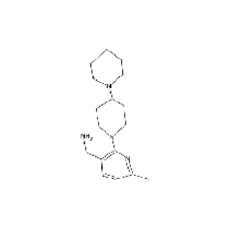 Cc1ccc(CN)c(N2CCC(N3CCCCC3)CC2)n1